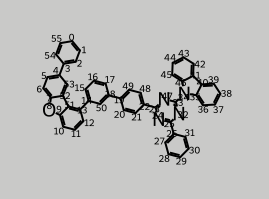 c1ccc(-c2ccc3oc4cccc(-c5cccc(-c6ccc(-c7nc(-c8ccccc8)nc(-n8c9ccccc9c9ccccc98)n7)cc6)c5)c4c3c2)cc1